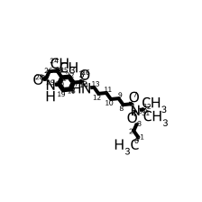 CCCCON(C(=O)CCCCCCNC(=O)c1ccc2c(c1)C(C)(C)CC(=O)N2)C(C)C